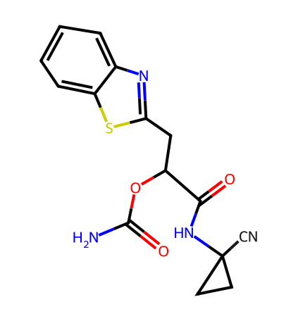 N#CC1(NC(=O)C(Cc2nc3ccccc3s2)OC(N)=O)CC1